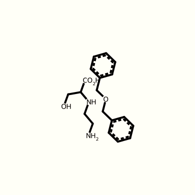 NCCNC(CO)C(=O)O.c1ccc(COCc2ccccc2)cc1